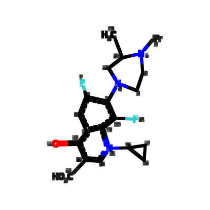 CC(C)N1CCN(c2c(F)cc3c(=O)c(C(=O)O)cn(C4CC4)c3c2F)CC1C